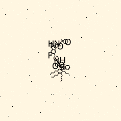 CCCCc1cc([SiH](OC2COCC2(C)N2CCC(c3cc4cc(NC(=O)C5CC56CCOCC6)ncc4cc3F)CC2)c2ccccc2)c(CCCC)c(CCCC)c1CCCC